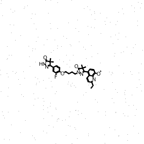 CCc1ccc2c(C3=NN(CCCCOc4ccc(C5=NNC(=O)C5(C)C)cc4F)C(=O)C3(C)C)ccc(OC)c2n1